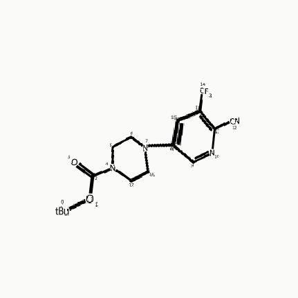 CC(C)(C)OC(=O)N1CCN(c2cnc(C#N)c(C(F)(F)F)c2)CC1